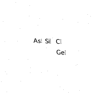 [As].[C].[Ge].[Si]